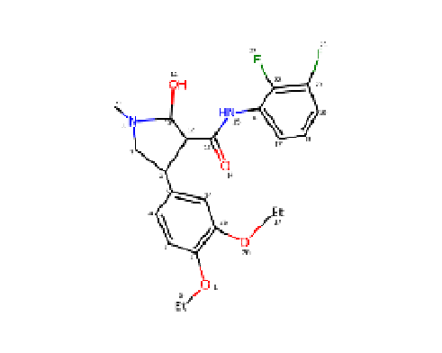 CCOc1ccc(C2CN(C)C(O)C2C(=O)Nc2cccc(F)c2F)cc1OCC